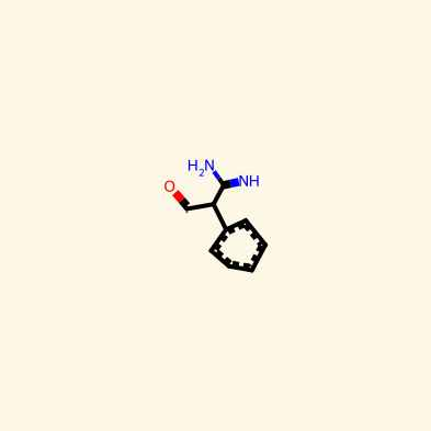 N=C(N)C([C]=O)c1ccccc1